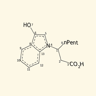 CCCCCC(CC(=O)O)n1cc(O)c2ccccc21